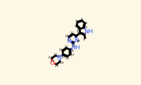 Cc1[nH]c2ccccc2c1-c1ccnc(Nc2ccc(N3CCOCC3)cc2)n1